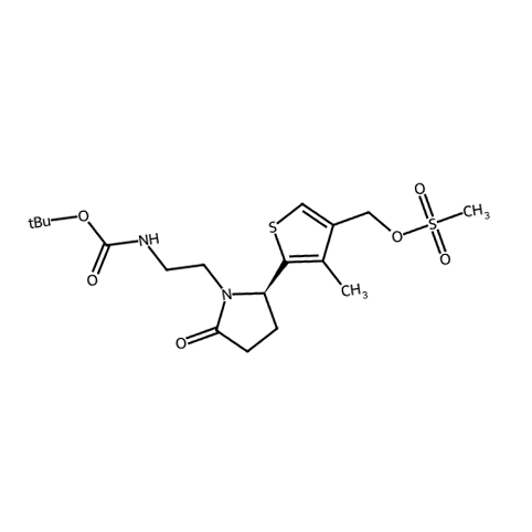 Cc1c(COS(C)(=O)=O)csc1[C@H]1CCC(=O)N1CCNC(=O)OC(C)(C)C